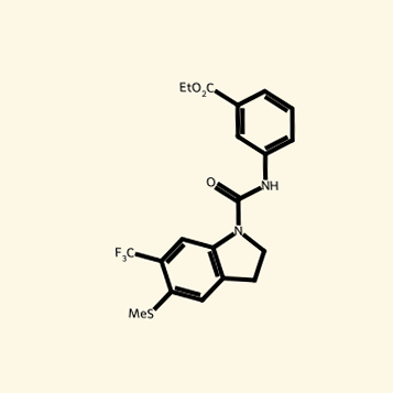 CCOC(=O)c1cccc(NC(=O)N2CCc3cc(SC)c(C(F)(F)F)cc32)c1